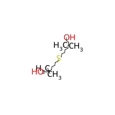 CC(C)(CCO)CCCCCSCCCCCC(C)(C)CCO